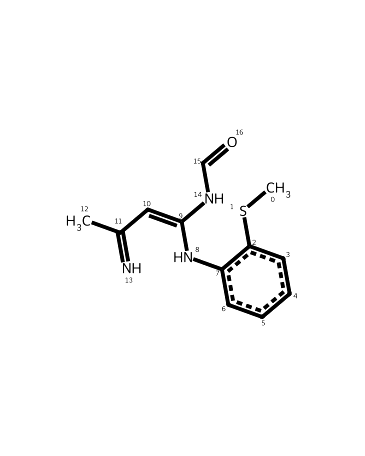 CSc1ccccc1N/C(=C\C(C)=N)NC=O